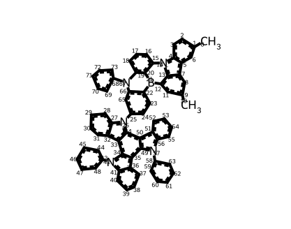 Cc1ccc2c(c1)c1cc(C)cc3c1n2-c1cccc2c1B3c1ccc(-n3c4ccccc4c4c5c(c6ccccc6n5-c5ccccc5)c5c(c6ccccc6n5-c5ccccc5)c43)cc1N2c1ccccc1